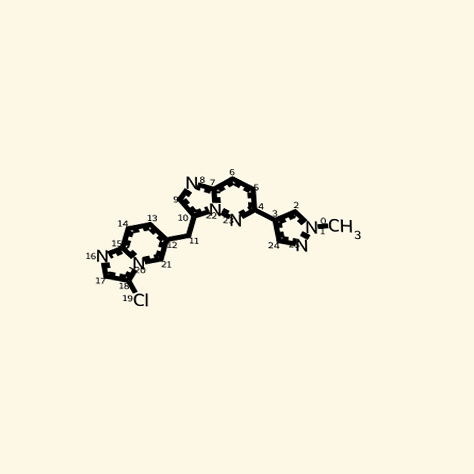 Cn1cc(-c2ccc3ncc(Cc4ccc5ncc(Cl)n5c4)n3n2)cn1